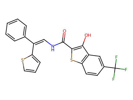 O=C(NC=C(c1ccccc1)c1cccs1)c1sc2ccc(C(F)(F)F)cc2c1O